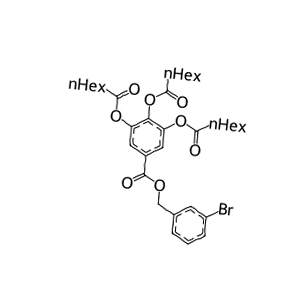 CCCCCCC(=O)Oc1cc(C(=O)OCc2cccc(Br)c2)cc(OC(=O)CCCCCC)c1OC(=O)CCCCCC